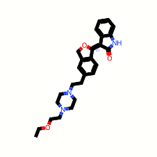 CCOCCN1CCN(CCc2ccc3c(c2)CO/C3=C2/C(=O)Nc3ccccc32)CC1